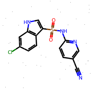 N#Cc1ccc(NS(=O)(=O)c2c[nH]c3cc(Cl)ccc23)nc1